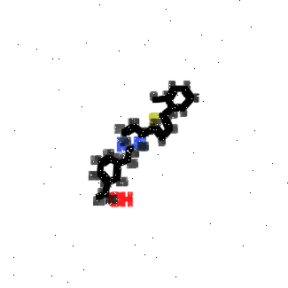 Cc1ccccc1-c1ccc(-c2ccnc(Cc3cccc(C(C)O)c3)n2)s1